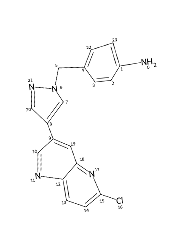 Nc1ccc(Cn2cc(-c3cnc4ccc(Cl)nc4c3)cn2)cc1